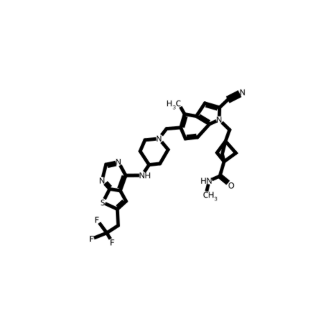 CNC(=O)C12CC(Cn3c(C#N)cc4c(C)c(CN5CCC(Nc6ncnc7sc(CC(F)(F)F)cc67)CC5)ccc43)(C1)C2